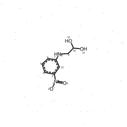 O=[N+]([O-])c1cccc(NCC(O)O)c1